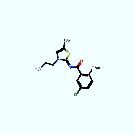 COc1ccc(Cl)cc1C(=O)/N=c1\sc(C(C)(C)C)cn1CCN